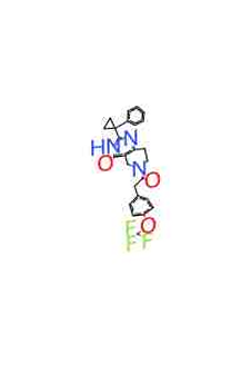 O=C(Cc1ccc(OC(F)(F)F)cc1)N1CCc2nc(C3(c4ccccc4)CC3)[nH]c(=O)c2C1